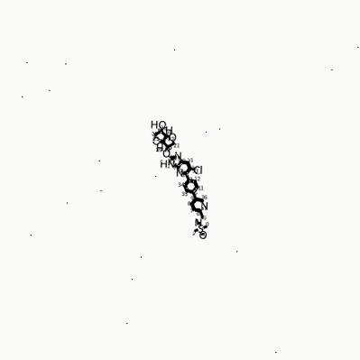 CS(C)(=O)=NCc1ccc(-c2ccc(-c3nc4[nH]c(O[C@@H]5CO[C@H]6[C@@H]5OC[C@H]6O)nc4cc3Cl)cc2)cn1